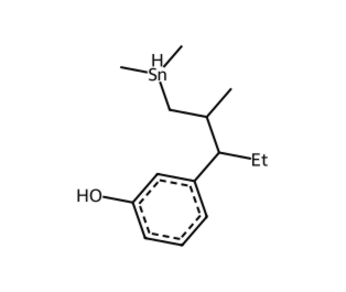 CCC(c1cccc(O)c1)C(C)[CH2][SnH]([CH3])[CH3]